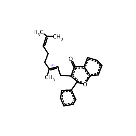 CC(C)=CCC/C(C)=C/Cc1c(-c2ccccc2)oc2ccccc2c1=O